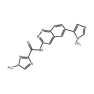 Cn1cnc(C(=O)Nc2cc3cc(-c4cncn4C)ccc3nn2)n1